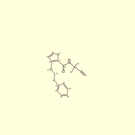 C#CC(C)(C)NC(=O)c1sccc1OCCc1ccccc1